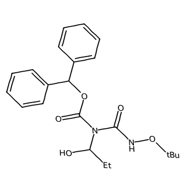 CCC(O)N(C(=O)NOC(C)(C)C)C(=O)OC(c1ccccc1)c1ccccc1